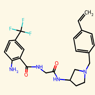 C=Cc1ccc(CN2CCC(NC(=O)CNC(=O)c3cc(C(F)(F)F)ccc3N)C2)cc1